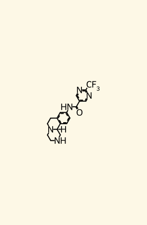 O=C(Nc1ccc2c(c1)CCN1CCNC[C@@H]21)c1cnc(C(F)(F)F)nc1